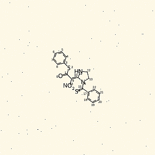 O=C(Sc1ccccc1)C(=C1NCCN1C(=S)c1ccccc1)[N+](=O)[O-]